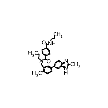 CCCNC(=O)c1ccc(C(=O)N(CCC)Cc2cc(-c3ccc4nc(C)[nH]c4c3)ccc2C)cc1